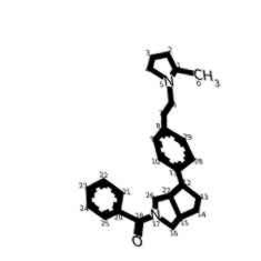 CC1CCCN1CCc1ccc(C2CCC3CN(C(=O)c4ccccc4)CC32)cc1